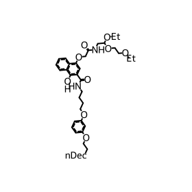 CCCCCCCCCCCCOc1cccc(OCCCCNC(=O)c2cc(OCC(=O)NCC(OCC)OCCOCC)c3ccccc3c2O)c1